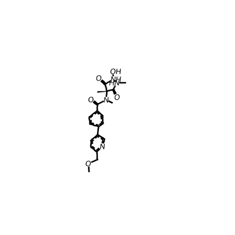 CNC(=O)[C@@](C)(C(=O)NO)N(C)C(=O)c1ccc(-c2ccc(COC)nc2)cc1